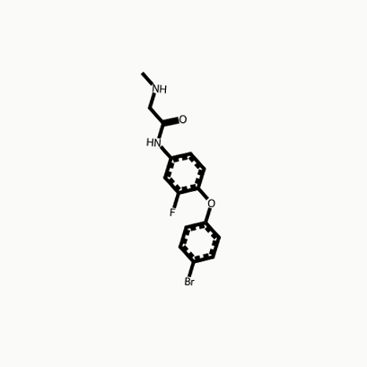 CNCC(=O)Nc1ccc(Oc2ccc(Br)cc2)c(F)c1